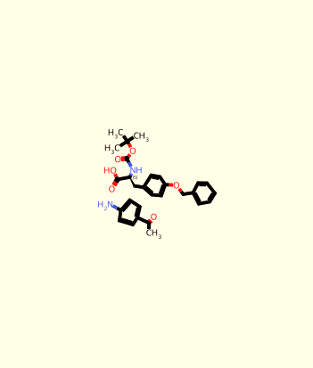 CC(=O)c1ccc(N)cc1.CC(C)(C)OC(=O)N[C@@H](Cc1ccc(OCc2ccccc2)cc1)C(=O)O